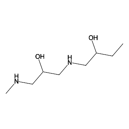 CCC(O)CNCC(O)CNC